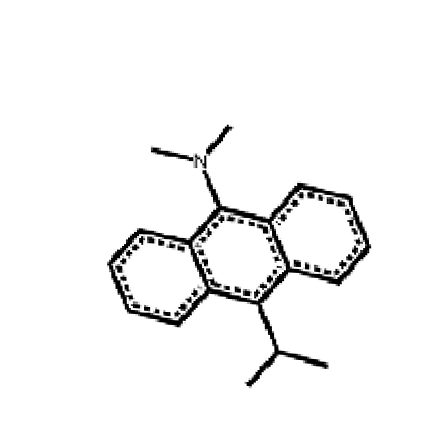 CC(C)c1c2ccccc2c(N(C)C)c2ccccc12